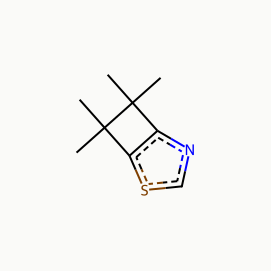 CC1(C)c2ncsc2C1(C)C